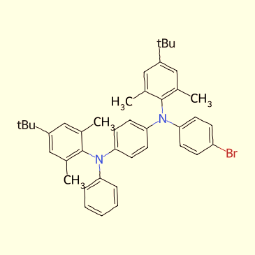 Cc1cc(C(C)(C)C)cc(C)c1N(c1ccccc1)c1ccc(N(c2ccc(Br)cc2)c2c(C)cc(C(C)(C)C)cc2C)cc1